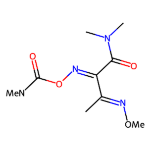 CNC(=O)O/N=C(C(=O)N(C)C)\C(C)=N\OC